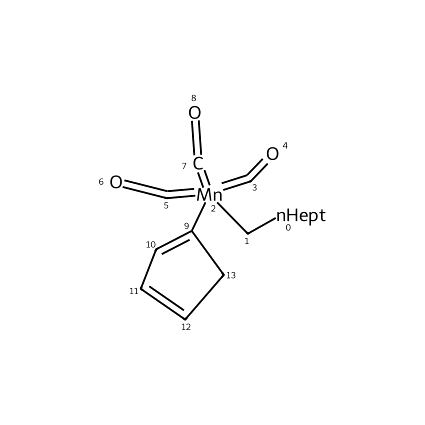 CCCCCCC[CH2][Mn](=[C]=O)(=[C]=O)(=[C]=O)[C]1=CC=CC1